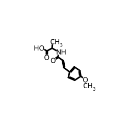 COc1ccc(C=CC(=O)NC(C)C(=O)O)cc1